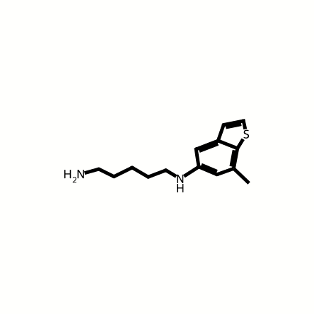 Cc1cc(NCCCCCN)cc2ccsc12